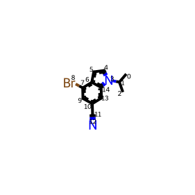 CC(C)n1ccc2c(Br)cc(C#N)cc21